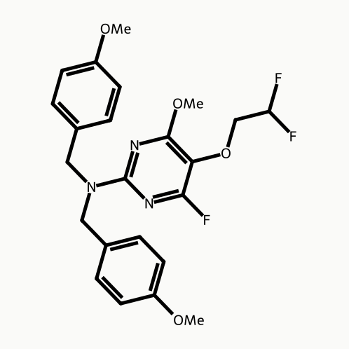 COc1ccc(CN(Cc2ccc(OC)cc2)c2nc(F)c(OCC(F)F)c(OC)n2)cc1